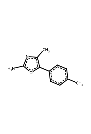 Cc1ccc(-c2oc(N)nc2C)cc1